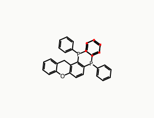 c1ccc(P(c2ccccc2)c2ccc3c(c2P(c2ccccc2)c2ccccc2)Cc2ccccc2O3)cc1